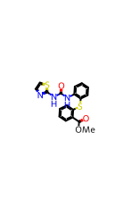 COC(=O)c1ccccc1Sc1ccccc1NC(=O)Nc1nccs1